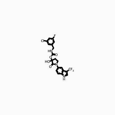 O=C(NCc1cc(F)cc(Cl)c1)OC1(O)CCN(c2ccc3[nH]cc(C(F)(F)F)c3c2)C1=O